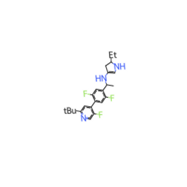 CCC1CC(NC(C)c2cc(F)c(-c3cc(C(C)(C)C)ncc3F)cc2F)=CN1